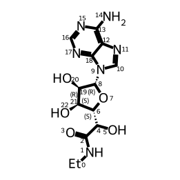 CCNC(=O)C(O)[C@H]1O[C@@H](n2cnc3c(N)ncnc32)[C@H](O)[C@@H]1O